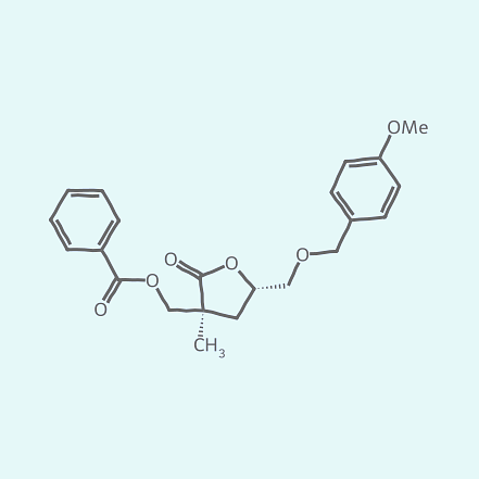 COc1ccc(COC[C@@H]2C[C@@](C)(COC(=O)c3ccccc3)C(=O)O2)cc1